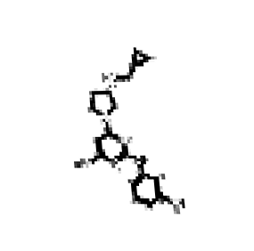 CCCc1cc(N2CC[C@H](NCC3CC3)C2)nc(Nc2cccc(C#N)c2)n1